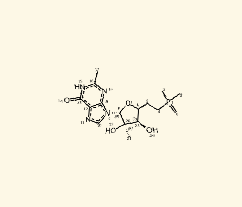 C=P(C)(C)CCC1O[C@@H](n2cnc3c(=O)[nH]c(C)nc32)[C@](C)(O)[C@@H]1O